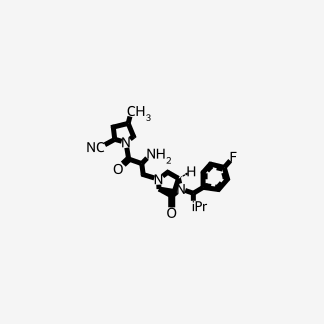 CC1CC(C#N)N(C(=O)C(N)CN2C[C@@H]3CC2C(=O)N3C(c2ccc(F)cc2)C(C)C)C1